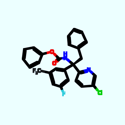 O=C(N[C@@](Cc1ccccc1)(c1cc(F)cc(C(F)(F)F)c1)c1ccc(Cl)cn1)Oc1ccccc1